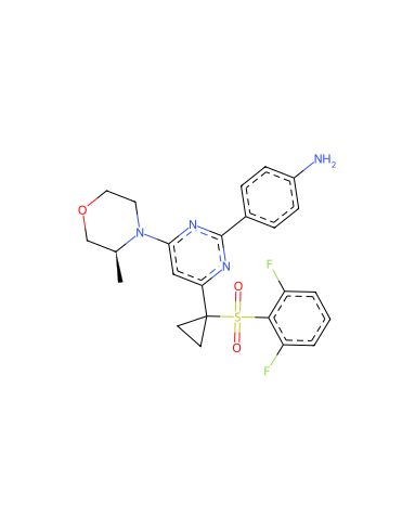 C[C@H]1COCCN1c1cc(C2(S(=O)(=O)c3c(F)cccc3F)CC2)nc(-c2ccc(N)cc2)n1